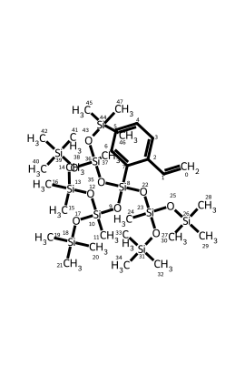 C=Cc1ccccc1[Si](O[Si](C)(O[Si](C)(C)C)O[Si](C)(C)C)(O[Si](C)(O[Si](C)(C)C)O[Si](C)(C)C)O[Si](C)(O[Si](C)(C)C)O[Si](C)(C)C